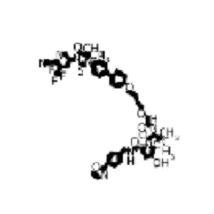 CC(C)(C)[C@H](NC(=O)COCCCCOc1ccc(-c2ccc(N3C(=S)N(c4cnc(C#N)c(C(F)(F)F)c4)C(=O)C3(C)C)cc2)cc1)C(=O)N1C[C@H](O)C[C@H]1C(=O)NCc1ccc(-c2ncco2)cc1